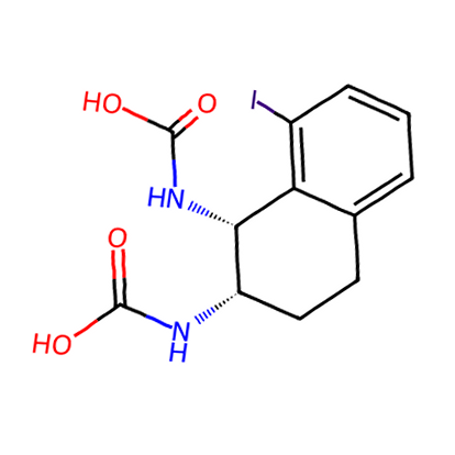 O=C(O)N[C@H]1CCc2cccc(I)c2[C@H]1NC(=O)O